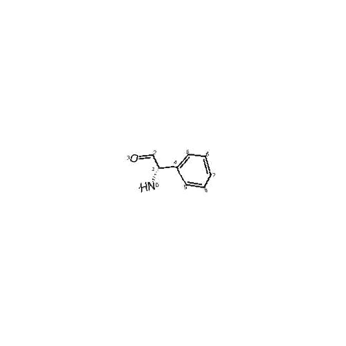 [NH][C@H](C=O)c1ccccc1